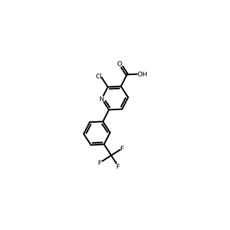 O=C(O)c1ccc(-c2cccc(C(F)(F)F)c2)nc1Cl